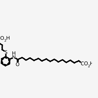 O=C(O)CCCCCCCCCCCCCCCC(=O)Nc1ccccc1SCCCC(=O)O